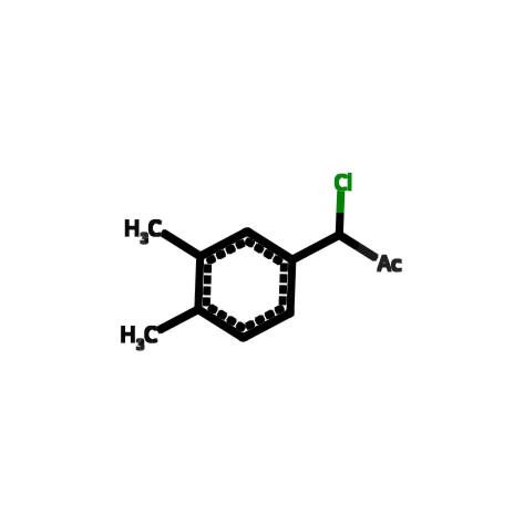 CC(=O)C(Cl)c1ccc(C)c(C)c1